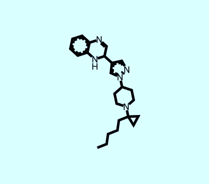 CCCCCC1(N2CCC(n3cc(C4C=Nc5ccccc5N4)cn3)CC2)CC1